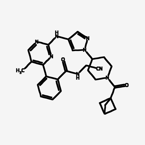 Cc1cnc(Nc2cnn(C3CCN(C(=O)C45CC(C4)C5)CC3)c2)nc1-c1ccccc1C(=O)NCC#N